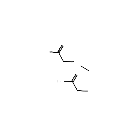 CC.CCC(=O)O.CCC(=O)O